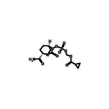 NC(=O)[C@@H]1CC[C@@H]2CN1C(=O)N2OS(=O)(=O)OCOC(=O)C1CC1